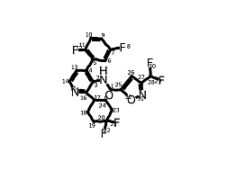 O=C(Nc1c(-c2cc(F)ccc2F)ccnc1C1CCC(F)(F)CC1)c1cc(C(F)F)no1